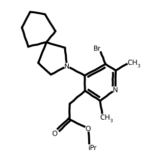 Cc1nc(C)c(CC(=O)OC(C)C)c(N2CCC3(CCCCC3)C2)c1Br